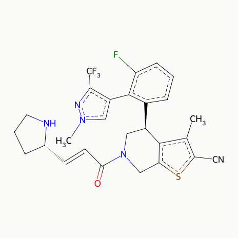 Cc1c(C#N)sc2c1[C@H](c1cccc(F)c1-c1cn(C)nc1C(F)(F)F)CN(C(=O)/C=C/[C@@H]1CCCN1)C2